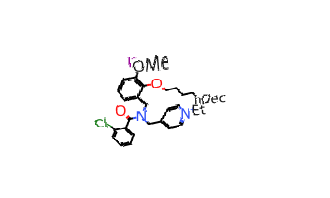 CCCCCCCCCCCCCCOc1c(CN(Cc2cc[n+](CC)cc2)C(=O)c2ccccc2Cl)cccc1OC.[I-]